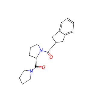 O=C([C@H]1CCCN1C(=O)C1Cc2ccccc2C1)N1CCCC1